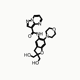 O=C(Nc1cc2c(cc1N1CCOCC1)OC(CO)(CO)C2)c1cnn2cccnc12